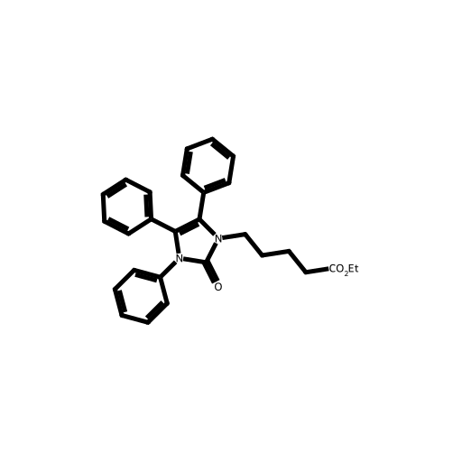 CCOC(=O)CCCCn1c(-c2ccccc2)c(-c2ccccc2)n(-c2ccccc2)c1=O